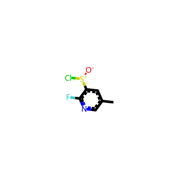 Cc1cnc(F)c([S@@+]([O-])Cl)c1